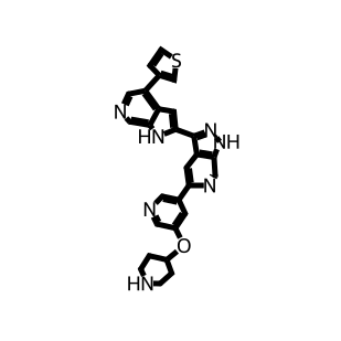 c1cc(-c2cncc3[nH]c(-c4n[nH]c5cnc(-c6cncc(OC7CCNCC7)c6)cc45)cc23)cs1